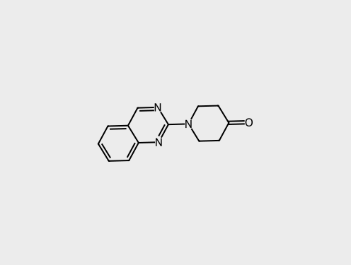 O=C1CCN(c2ncc3ccccc3n2)CC1